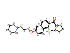 CC1CCCN1C(=O)c1ccc2cc(OCCCN3CCCCC3)ccc2c1